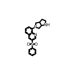 O=S(=O)(c1ccccc1)c1cnc2c(N3CC4CCNC4C3)cccc2c1